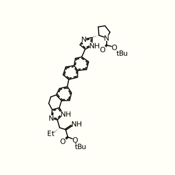 CC[C@@H](C(=N)C(=O)OC(C)(C)C)c1nc2c([nH]1)-c1ccc(-c3ccc4cc(-c5cnc([C@@H]6CCCN6C(=O)OC(C)(C)C)[nH]5)ccc4c3)cc1CC2